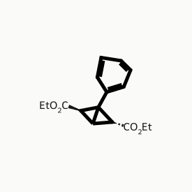 CCOC(=O)[C@@H]1C2[C@@H](C(=O)OCC)C21c1ccccc1